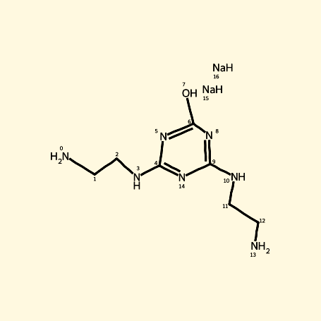 NCCNc1nc(O)nc(NCCN)n1.[NaH].[NaH]